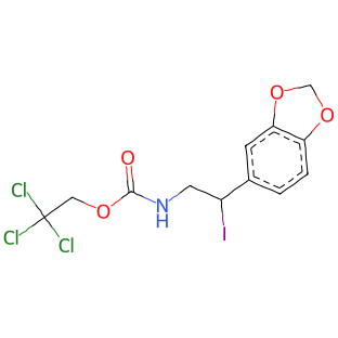 O=C(NCC(I)c1ccc2c(c1)OCO2)OCC(Cl)(Cl)Cl